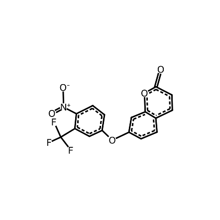 O=c1ccc2ccc(Oc3ccc([N+](=O)[O-])c(C(F)(F)F)c3)cc2o1